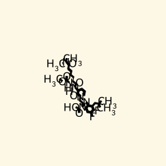 COC(=O)N[C@@H](CC/C=C/C(=O)N(C)C)C(=O)Nc1cccn(Cc2nc3c(CC(C)C)c(F)c(F)cc3n2C(=O)O)c1=O